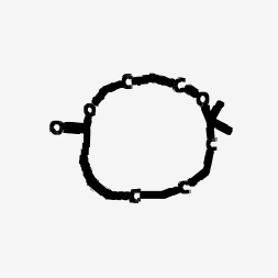 CC1(C)CCCCCCCCC(=O)OCCCCO1